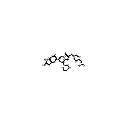 O=C1Cc2cc(-c3cn4cc(CN5CCN(C=S(=O)=O)CC5)nc4c(N4CCOCC4)n3)ccc2N1